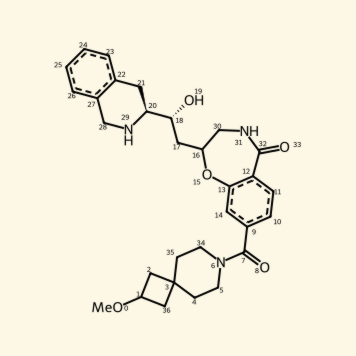 COC1CC2(CCN(C(=O)c3ccc4c(c3)OC(C[C@@H](O)[C@@H]3Cc5ccccc5CN3)CNC4=O)CC2)C1